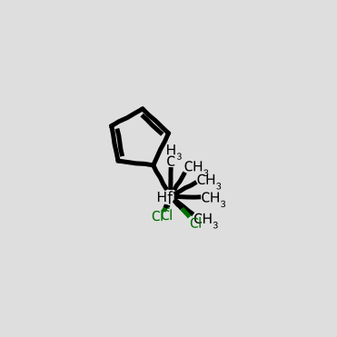 [CH3][Hf]([CH3])([CH3])([CH3])([CH3])([Cl])([Cl])([Cl])[CH]1C=CC=C1